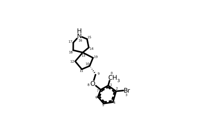 Cc1c(Br)cccc1OC[C@@H]1CCC2(CCNCC2)C1